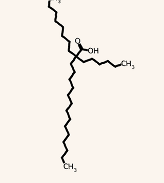 CCCCCCCCCCCCCCC(CCCCCC)(CCCCCCCC)C(=O)O